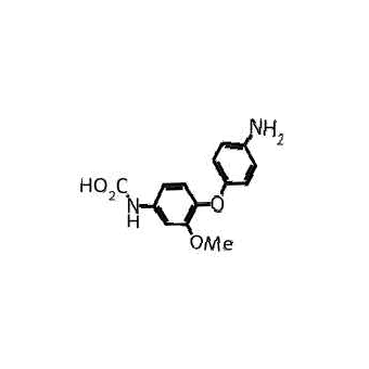 COc1cc(NC(=O)O)ccc1Oc1ccc(N)cc1